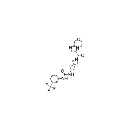 O=C(Nc1cccc(C(F)(F)F)c1)NC1CC2(C1)CN(C(=O)c1cnc3n1CCOC3)C2